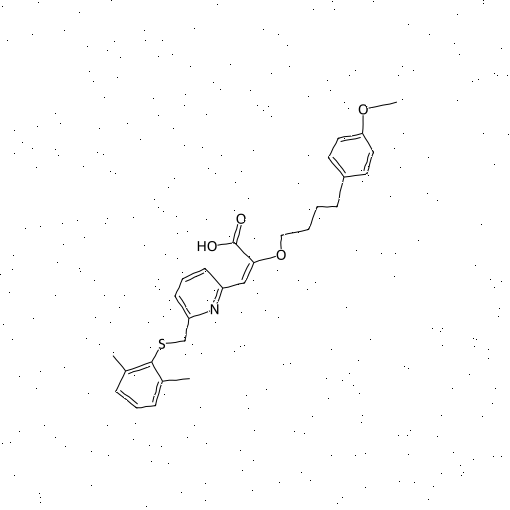 COc1ccc(CCCCO/C(=C/c2cccc(CSc3c(C)cccc3C)n2)C(=O)O)cc1